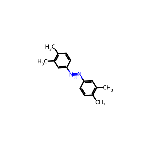 Cc1ccc(/N=N/c2ccc(C)c(C)c2)cc1C